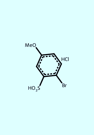 COc1ccc(Br)c(S(=O)(=O)O)c1.Cl